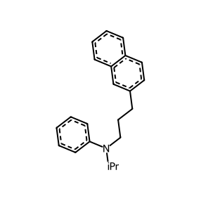 CC(C)N(CCCc1ccc2ccccc2c1)c1ccccc1